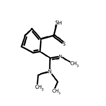 CCN(CC)C(=NC)c1ccccc1C(=S)S